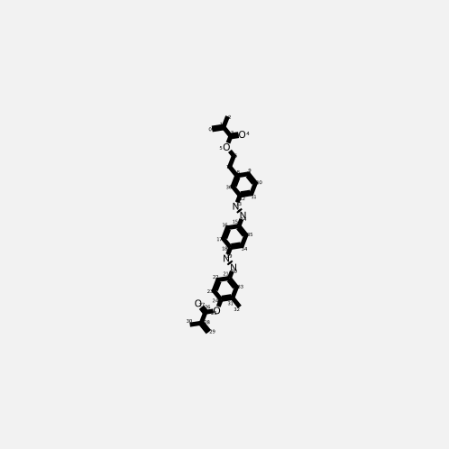 C=C(C)C(=O)OCCc1cccc(/N=N/c2ccc(/N=N/c3ccc(OC(=O)C(=C)C)c(C)c3)cc2)c1